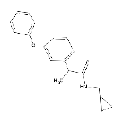 CC(C(=O)NCC1CC1)c1cccc(Oc2ccccc2)c1